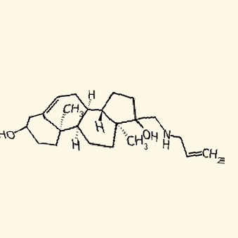 C=CCNCC1(O)CC[C@H]2[C@@H]3CC=C4CC(O)CC[C@]4(C)[C@@H]3CC[C@@]21C